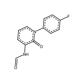 O=CNc1cccn(-c2ccc(F)cc2)c1=O